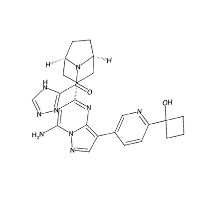 Nc1cc([C@@H]2C[C@H]3CC[C@@H](C2)N3C(=O)c2nnc[nH]2)nc2c(-c3ccc(C4(O)CCC4)nc3)cnn12